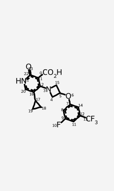 O=C(O)c1c(N2CC(Oc3cc(F)cc(C(F)(F)F)c3)C2)c(C2CC2)c[nH]c1=O